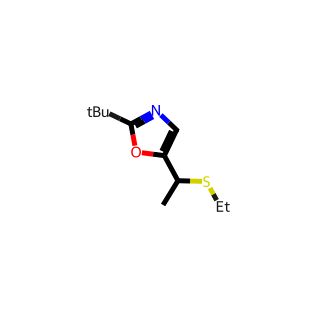 CCSC(C)c1cnc(C(C)(C)C)o1